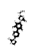 O=C1OCCN1c1ccc(-c2c(F)cc(N3C[C@H](CO)OC3=O)c(F)c2F)cn1